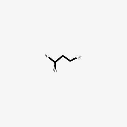 [2H]C([2H])CCCCC